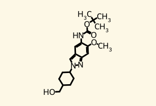 COc1cc2nn(C3CCC(CO)CC3)cc2cc1NC(=O)OC(C)(C)C